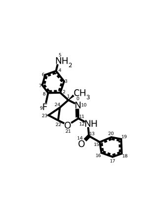 C[C@@]1(c2cc(N)ccc2F)N=C(NC(=O)c2ccccc2)OC2CC21